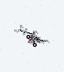 CCCC(=O)N(C[P@](=O)(CCCCNC(=O)OCC(C)C)OC)[C@](CP(=O)(CCCCN)OC)(C(=O)O)[C@H](NC(=O)c1ccccc1)C(C)(C)c1ccccc1